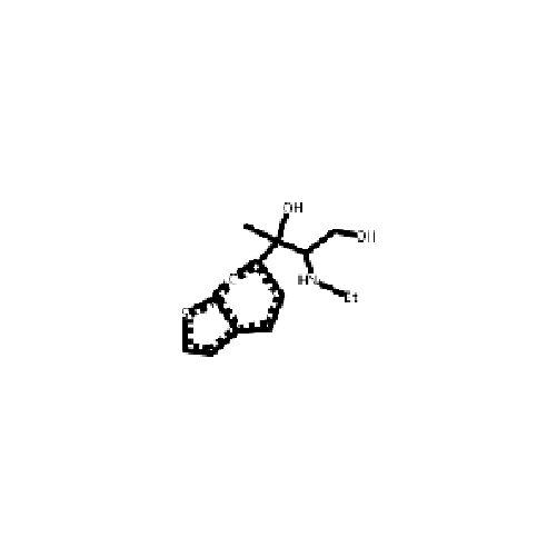 CCNC(CO)C(C)(O)c1ccc2ccsc2c1